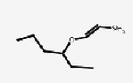 CCCC(CC)OC=C[SiH3]